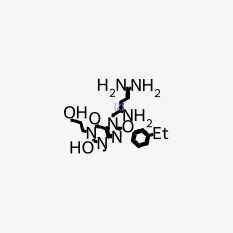 CCc1cccc(Oc2nc3c(n2C/C(N)=C/C=C(N)N)C(=O)N(CCCO)C(O)N3C)c1